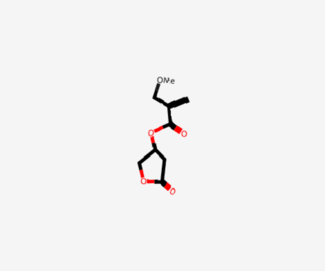 C=C(COC)C(=O)OC1COC(=O)C1